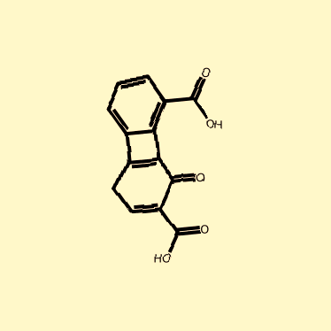 O=C(O)C1=CCC2=C(C1=O)c1c(C(=O)O)cccc12